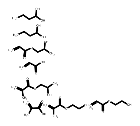 C=C(C)C(=O)O.C=C(C)C(=O)OCC(C)O.C=C(C)C(=O)OCCO.C=CC(=O)O.C=CC(=O)OCC(C)O.C=CC(=O)OCCO.CCCC(O)O.CCCC(O)O